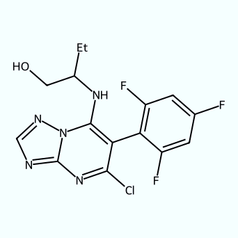 CCC(CO)Nc1c(-c2c(F)cc(F)cc2F)c(Cl)nc2ncnn12